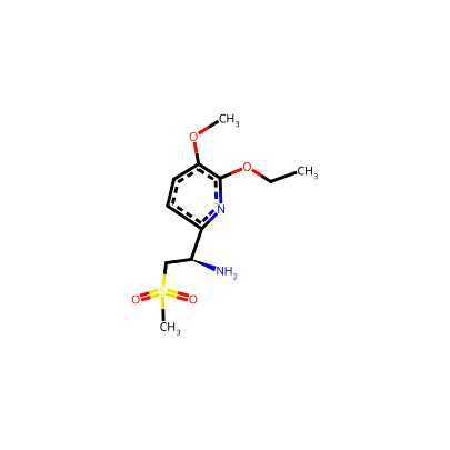 CCOc1nc([C@@H](N)CS(C)(=O)=O)ccc1OC